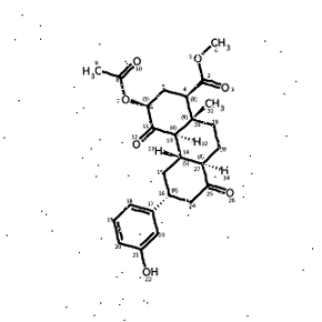 COC(=O)[C@@H]1C[C@H](OC(C)=O)C(=O)[C@@H]2[C@H]3C[C@@H](c4cccc(O)c4)CC(=O)[C@@H]3CC[C@]21C